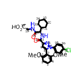 COc1cccc(OC)c1-c1cc(C(=O)N[C@H](C(=O)NCC(=O)O)C2CCCCC2)nn1-c1ccc(Cl)cc1